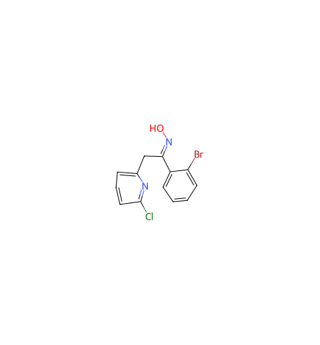 O/N=C(\Cc1cccc(Cl)n1)c1ccccc1Br